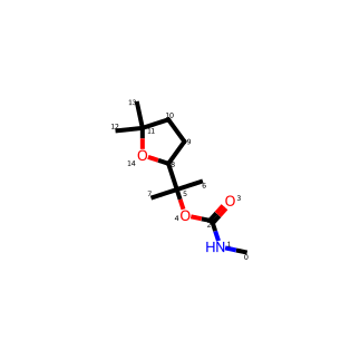 CNC(=O)OC(C)(C)C1CCC(C)(C)O1